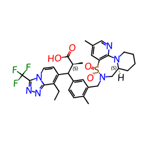 CCc1c(C(c2ccc(C)c(CN3C[C@@H]4CCCCN4c4ncc(C)cc4S3(=O)=O)c2)[C@H](C)C(=O)O)ccn2c(C(F)(F)F)nnc12